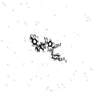 COc1ccc(-n2nnc3cnc(N[C@@H]4CC[C@@H](C(O)NCCN5CCN(C)CC5)C4)nc32)cc1